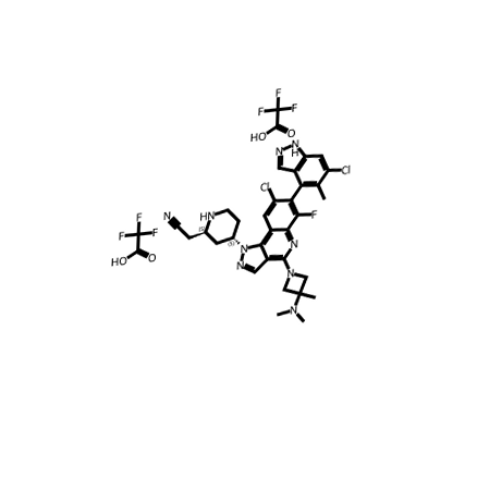 Cc1c(Cl)cc2[nH]ncc2c1-c1c(Cl)cc2c(nc(N3CC(C)(N(C)C)C3)c3cnn([C@H]4CCN[C@H](CC#N)C4)c32)c1F.O=C(O)C(F)(F)F.O=C(O)C(F)(F)F